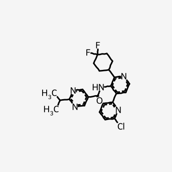 CC(C)c1ncc(C(=O)Nc2c(-c3cccc(Cl)n3)ccnc2C2CCC(F)(F)CC2)cn1